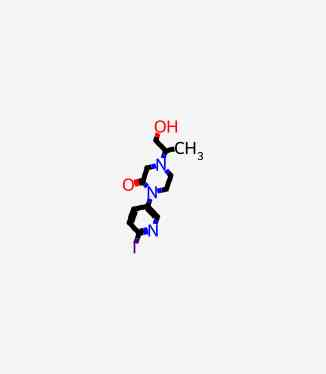 CC(CO)N1CCN(c2ccc(I)nc2)C(=O)C1